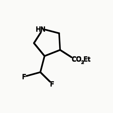 CCOC(=O)C1CNCC1C(F)F